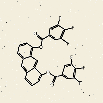 O=C(Oc1cccc2cc3cccc(OC(=O)c4cc(F)c(F)c(F)c4)c3cc12)c1cc(F)c(F)c(F)c1